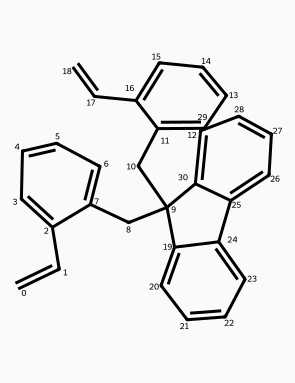 C=Cc1ccccc1CC1(Cc2ccccc2C=C)c2ccccc2-c2ccccc21